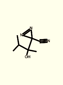 CC(C)C(C)(O)C1(C#N)N=N1